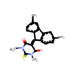 CN1C(=O)C(=C2c3ccc([N+](=O)[O-])cc3-c3cc([N+](=O)[O-])ccc32)C(=O)N(C)C1=S